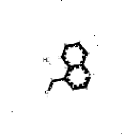 Cl.ClCc1ccnc2ccccc12